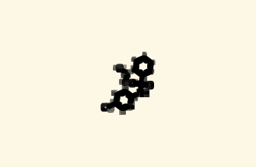 O=[N+]([O-])c1ccccc1S(=O)(=O)Nc1ccc(Cl)cn1